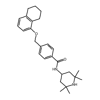 CC1(C)CC(NC(=O)c2ccc(COc3cccc4c3CCCC4)cc2)CC(C)(C)N1